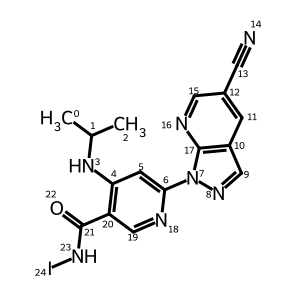 CC(C)Nc1cc(-n2ncc3cc(C#N)cnc32)ncc1C(=O)NI